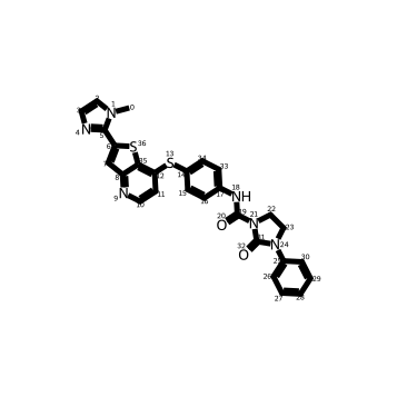 Cn1ccnc1-c1cc2nccc(Sc3ccc(NC(=O)N4CCN(c5ccccc5)C4=O)cc3)c2s1